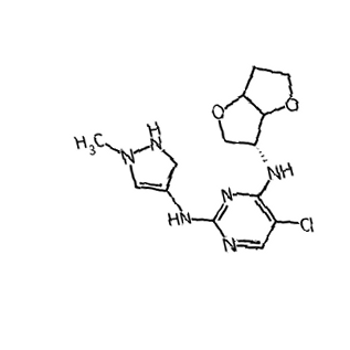 CN1C=C(Nc2ncc(Cl)c(N[C@@H]3COC4CCOC43)n2)CN1